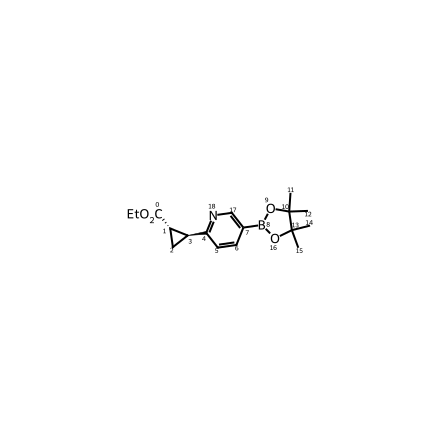 CCOC(=O)[C@H]1C[C@@H]1c1ccc(B2OC(C)(C)C(C)(C)O2)cn1